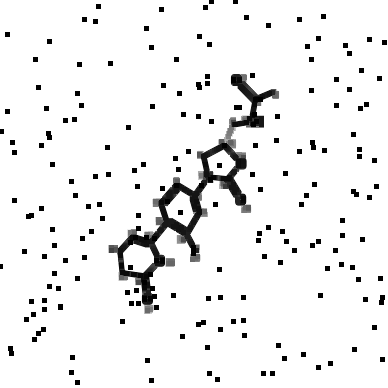 CC(=O)NC[C@H]1CN(c2ccc(C3=CCCC(=O)O3)c(F)c2)C(=O)O1